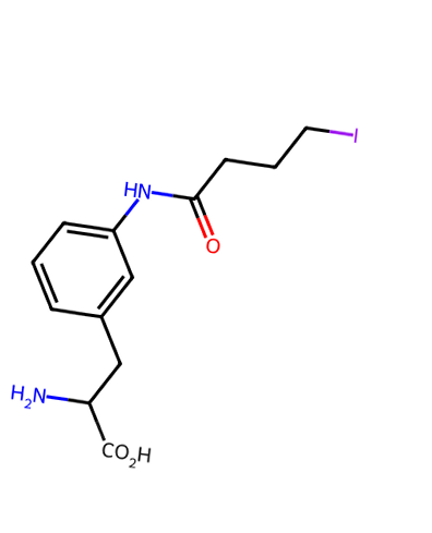 NC(Cc1cccc(NC(=O)CCCI)c1)C(=O)O